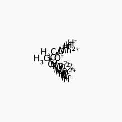 CC(=O)[O-].CC(=O)[O-].[H-].[H-].[H-].[H-].[H-].[H-].[H-].[H-].[Mn+2].[Mn+2].[Mn+2].[Mn+2].[Mn+2]